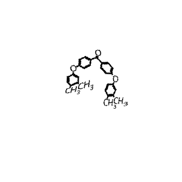 Cc1ccc(Oc2ccc(C(=O)c3ccc(Oc4ccc(C)c(C)c4)cc3)cc2)cc1C